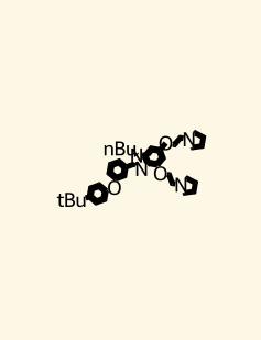 CCCCn1c(-c2cccc(Oc3ccc(C(C)(C)C)cc3)c2)nc2c(OCCN3CCCC3)cc(OCCN3CCCC3)cc21